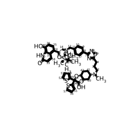 CN(CCCc1nc(-c2ccc(CNC[C@H](O[Si](C)(C)C(C)(C)C)c3ccc(O)c4[nH]c(=O)ccc34)cc2)no1)[C@H]1CC[C@H](OC(C(=O)O)(c2cccs2)c2cccs2)CC1